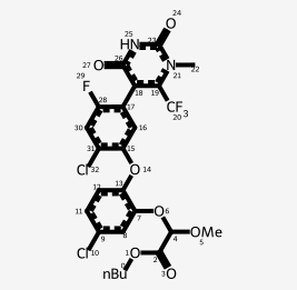 CCCCOC(=O)C(OC)Oc1cc(Cl)ccc1Oc1cc(-c2c(C(F)(F)F)n(C)c(=O)[nH]c2=O)c(F)cc1Cl